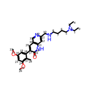 CCN(CC)CCCCNCc1cc2[nH]c(=O)c(-c3cc(OC)cc(OC)c3C)cc2cn1